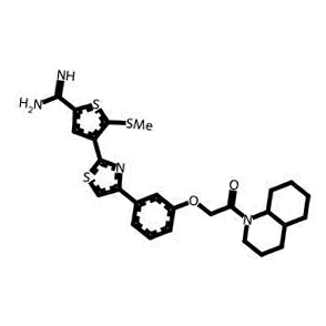 CSc1sc(C(=N)N)cc1-c1nc(-c2cccc(OCC(=O)N3CCCC4CCCCC43)c2)cs1